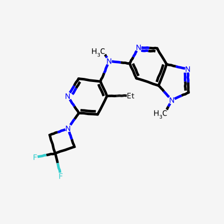 CCc1cc(N2CC(F)(F)C2)ncc1N(C)c1cc2c(cn1)ncn2C